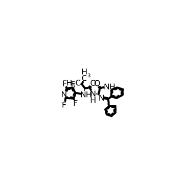 CC(C)[C@@H](Nc1c(F)c(F)nc(F)c1F)C(=O)N[C@H]1N=C(c2ccccc2)c2ccccc2NC1=O